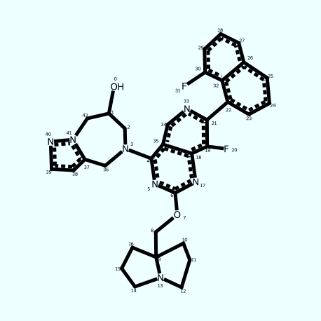 OC1CN(c2nc(OCC34CCCN3CCC4)nc3c(F)c(-c4cccc5cccc(F)c45)ncc23)Cc2ccnn2C1